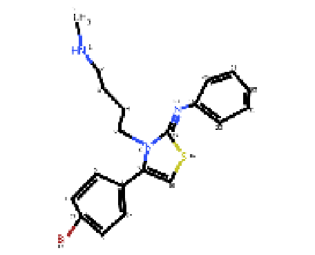 CNCCCCn1c(-c2ccc(Br)cc2)csc1=Nc1ccccc1